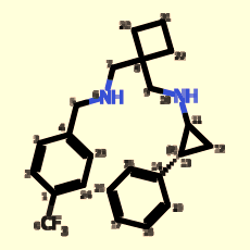 FC(F)(F)c1ccc(CNCC2(CNC3C[C@@H]3c3ccccc3)CCC2)cc1